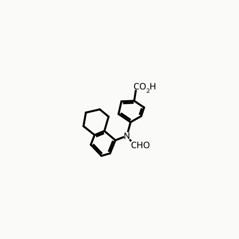 O=CN(c1ccc(C(=O)O)cc1)c1cccc2c1CCCC2